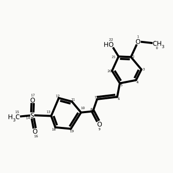 COc1ccc(/C=C/C(=O)c2ccc(S(C)(=O)=O)cc2)cc1O